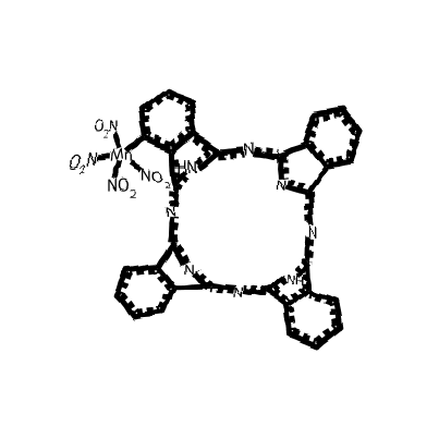 O=[N+]([O-])[Mn]([c]1cccc2c3nc4nc(nc5[nH]c(nc6nc(nc([nH]3)c12)-c1ccccc1-6)c1ccccc51)-c1ccccc1-4)([N+](=O)[O-])([N+](=O)[O-])[N+](=O)[O-]